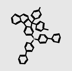 Cc1ccc(C2(c3ccc(C)cc3)c3cc(N(c4ccc(-c5ccccc5)cc4)c4ccc(-c5ccccc5)cc4)ccc3-c3c2ccc2ccccc32)cc1